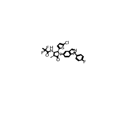 C[C@@H]1C(=O)N(c2ccc3c(cnn3-c3ccc(F)cc3)c2)[C@H](c2ccc(Cl)s2)[C@H]1NC(=O)C(C)(F)F